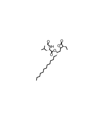 CCCCCCCCCCCCC[C@@H](CC1OC(=O)[C@H]1CC)OC(=O)[C@H](CC(C)C)NC=O